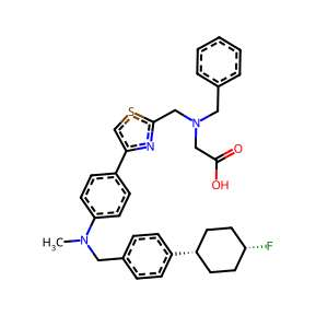 CN(Cc1ccc([C@H]2CC[C@@H](F)CC2)cc1)c1ccc(-c2csc(CN(CC(=O)O)Cc3ccccc3)n2)cc1